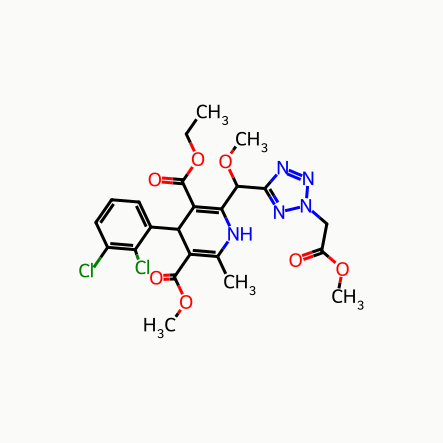 CCOC(=O)C1=C(C(OC)c2nnn(CC(=O)OC)n2)NC(C)=C(C(=O)OC)C1c1cccc(Cl)c1Cl